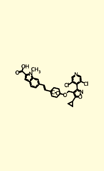 Cn1c(C(=O)O)cc2ccc(C=CC34CCC(OCc5c(-c6c(Cl)cncc6Cl)noc5C5CC5)(CC3)CC4)cc21